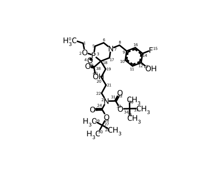 CCOP1(=O)CCN(Cc2ccc(O)c(F)c2)CC1(CCCCN(C(=O)OC(C)(C)C)C(=O)OC(C)(C)C)C(=O)O